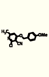 COc1ccc(COc2cc(C)nc(Cl)c2C#N)cc1